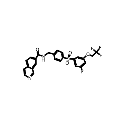 O=C(NCc1ccc(S(=O)(=O)c2cc(F)cc(OCC(F)(F)F)c2)cc1)c1ccc2ccncc2c1